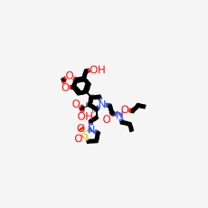 CCCON(CCC)C(=O)CN1C[C@H](c2cc(CO)c3c(c2)OCO3)[C@@H](C(=O)O)[C@@H]1CCN1CCCS1(=O)=O